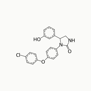 O=C1NCC(c2cccc(O)c2)N1c1ccc(Oc2ccc(Cl)cc2)cc1